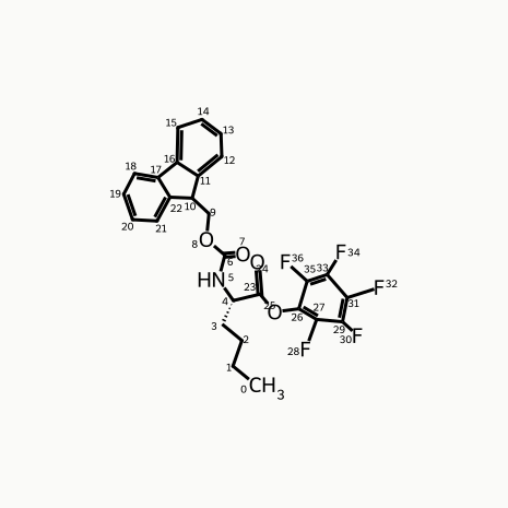 CCCC[C@H](NC(=O)OCC1c2ccccc2-c2ccccc21)C(=O)Oc1c(F)c(F)c(F)c(F)c1F